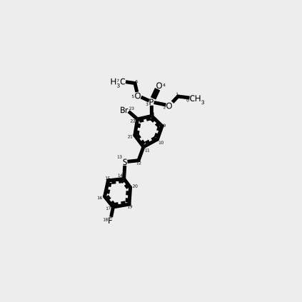 CCOP(=O)(OCC)c1ccc(CSc2ccc(F)cc2)cc1Br